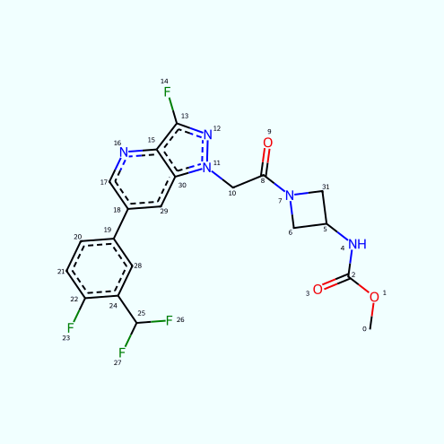 COC(=O)NC1CN(C(=O)Cn2nc(F)c3ncc(-c4ccc(F)c(C(F)F)c4)cc32)C1